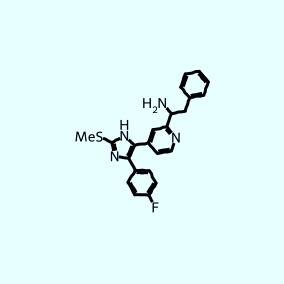 CSc1nc(-c2ccc(F)cc2)c(-c2ccnc(C(N)Cc3ccccc3)c2)[nH]1